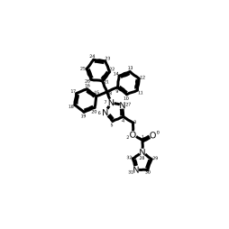 O=C(OCc1cnn(C(c2ccccc2)(c2ccccc2)c2ccccc2)n1)n1ccnc1